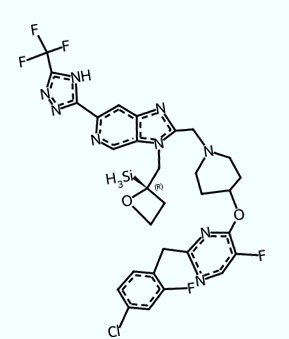 Fc1cc(Cl)ccc1Cc1ncc(F)c(OC2CCN(Cc3nc4cc(-c5nnc(C(F)(F)F)[nH]5)ncc4n3C[C@]3([SiH3])CCO3)CC2)n1